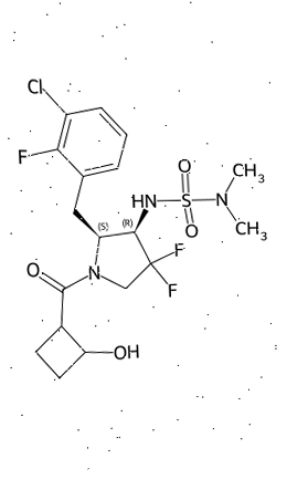 CN(C)S(=O)(=O)N[C@@H]1[C@H](Cc2cccc(Cl)c2F)N(C(=O)C2CCC2O)CC1(F)F